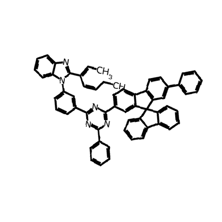 C/C=C(\C=C/CC)c1nc2ccccc2n1-c1cccc(-c2nc(-c3ccccc3)nc(-c3ccc4c(c3)C3(c5ccccc5-c5ccccc53)c3cc(-c5ccccc5)ccc3-4)n2)c1